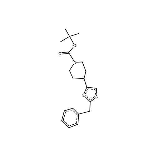 CC(C)(C)OC(=O)N1CCC(c2cnc(Cc3ccccc3)s2)CC1